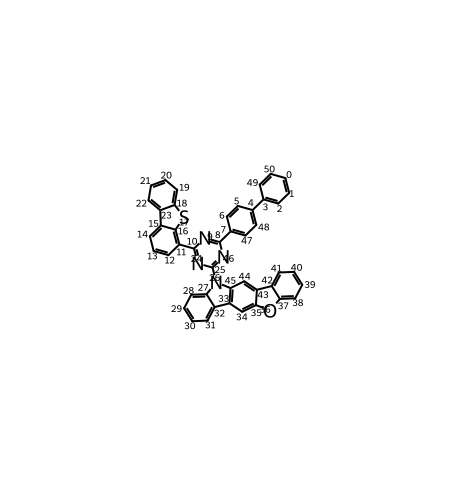 c1ccc(-c2ccc(-c3nc(-c4cccc5c4sc4ccccc45)nc(-n4c5ccccc5c5cc6oc7ccccc7c6cc54)n3)cc2)cc1